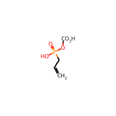 C=CCP(=O)(O)OC(=O)O